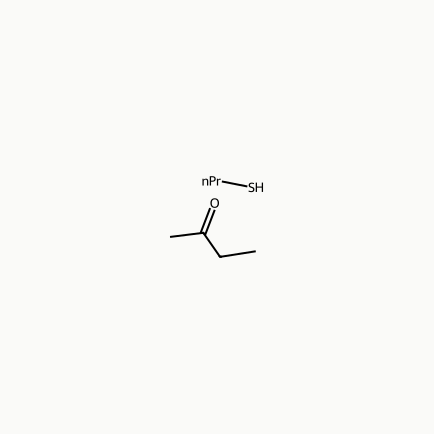 CCC(C)=O.[CH2]CCS